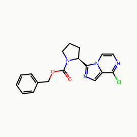 O=C(OCc1ccccc1)N1CCC[C@H]1c1ncc2c(Cl)nccn12